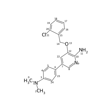 CN(C)c1ccc(-c2cnc(N)c(OCc3ccccc3Cl)c2)cc1